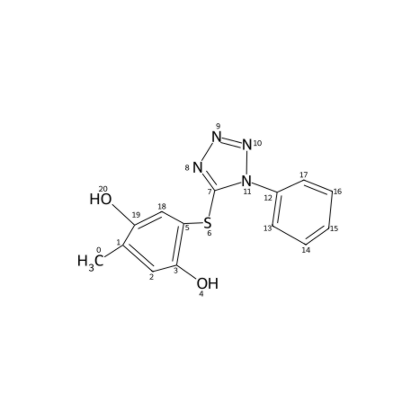 Cc1cc(O)c(Sc2nnnn2-c2ccccc2)cc1O